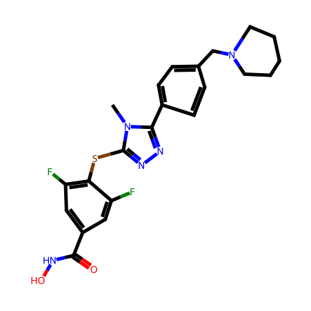 Cn1c(Sc2c(F)cc(C(=O)NO)cc2F)nnc1-c1ccc(CN2CCCCC2)cc1